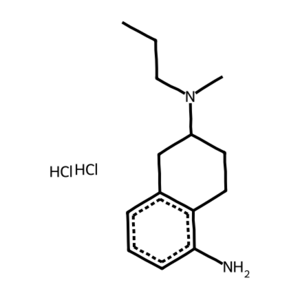 CCCN(C)C1CCc2c(N)cccc2C1.Cl.Cl